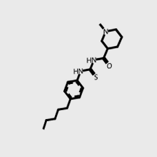 CCCCCc1ccc(NC(=S)NC(=O)C2CCCN(C)C2)cc1